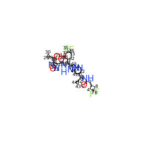 O=C(CC1CC(F)(F)C1)NC(c1cnn2cc([C@@H](NC(=O)c3nonc3[C@@H](O)C3CC3)C3CCC(F)(F)CC3)nc2c1)C1CC1